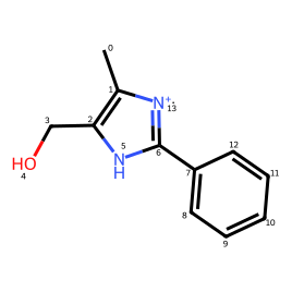 CC1=C(CO)NC(c2ccccc2)=[N+]1